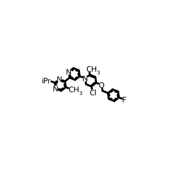 CC1=CC(OCc2ccc(F)cc2)=C(Cl)CN1c1ccnc(-c2nc(C(C)C)ncc2C)c1